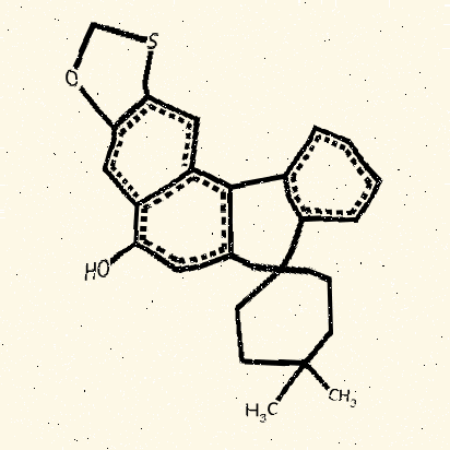 CC1(C)CCC2(CC1)c1ccccc1-c1c2cc(O)c2cc3c(cc12)SCO3